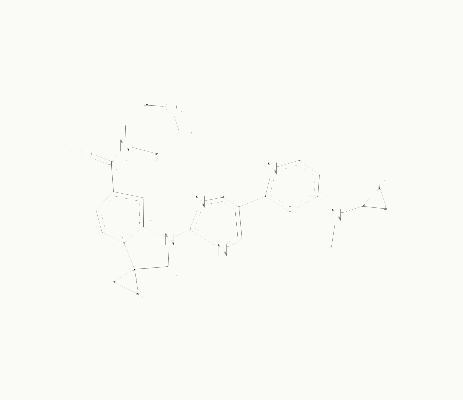 CN(c1ccnc(-c2cnc(N3CC4(CC4)c4ccc(C(=O)N5CCOCC5)cc43)nc2)c1)C1CC1